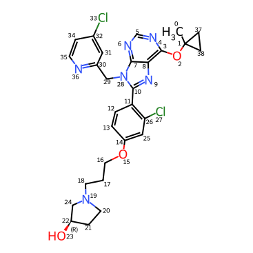 CC1(Oc2ncnc3c2nc(-c2ccc(OCCCN4CC[C@@H](O)C4)cc2Cl)n3Cc2cc(Cl)ccn2)CC1